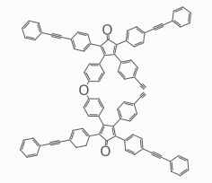 C#Cc1ccc(C2=C(c3ccc(C#Cc4ccccc4)cc3)C(=O)C(C3=CC=C(C#Cc4ccccc4)CC3)=C2c2ccc(Oc3ccc(C4=C(c5ccc(C#Cc6ccccc6)cc5)C(=O)C(c5ccc(C#Cc6ccccc6)cc5)=C4c4ccc(C#C)cc4)cc3)cc2)cc1